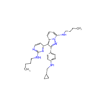 CCCCNc1nccc(-c2c(-c3ccc(NCC4CC4)cc3)nn3c(NCCCC)cccc23)n1